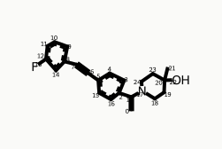 C=C(c1ccc(C#Cc2cccc(F)c2)cc1)N1CCC(C)(O)CC1